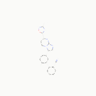 Cc1noc(-c2ccn3c(-c4ccc(F)c(-c5ccccc5C#N)c4)cnc3n2)n1